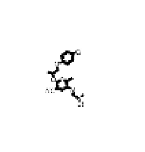 CCN(C)C=Nc1cc(C#N)c(OC(C)COc2ccc(Cl)cc2)nc1C